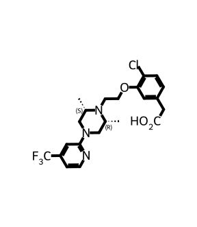 C[C@@H]1CN(c2cc(C(F)(F)F)ccn2)C[C@H](C)N1CCOc1cc(CC(=O)O)ccc1Cl